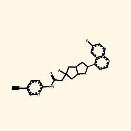 C#Cc1ccc(NC(=O)CC2(F)CC3CC(c4ccnc5ccc(F)cc45)CC3C2)nc1